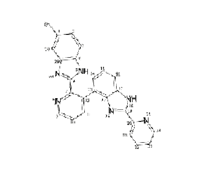 Cc1ccc2[nH]c(-c3ncccc3-c3cccc4[nH]c(-c5ccccn5)nc34)nc2c1